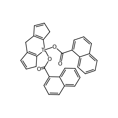 O=C([O][Ti]1([O]C(=O)c2cccc3ccccc23)[C]2=C(C=CC2)CC2=[C]1CC=C2)c1cccc2ccccc12